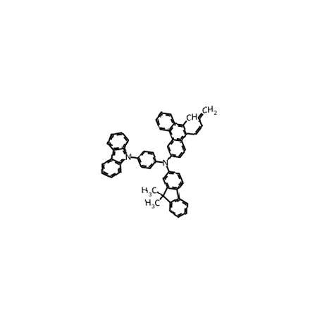 C=C/C=C\c1c(C)c2ccccc2c2cc(N(c3ccc(-n4c5ccccc5c5ccccc54)cc3)c3ccc4c(c3)C(C)(C)c3ccccc3-4)ccc12